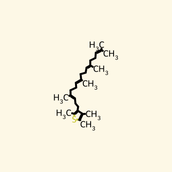 CC(C)=CCC/C(C)=C/CC/C(C)=C/CC/C(C)=C/CCc1c(C)sc(C)c1C